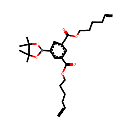 C=CCCCCOC(=O)c1cc(B2OC(C)(C)C(C)(C)O2)cc(C(=O)OCCCCC=C)c1